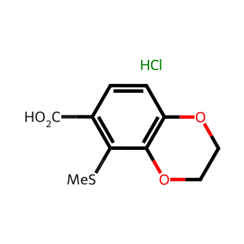 CSc1c(C(=O)O)ccc2c1OCCO2.Cl